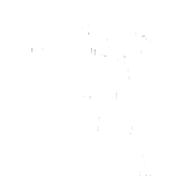 CCC1CC2C=CC1N([C@H](CC)Cc1coc3ccc(OC)cc13)C2